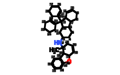 CC1(NC2CCC3C4CCC=CC4C(C4=CC=CCC4)(C4=CCCCC4)C3C2)CC=CC2Oc3ccccc3C21